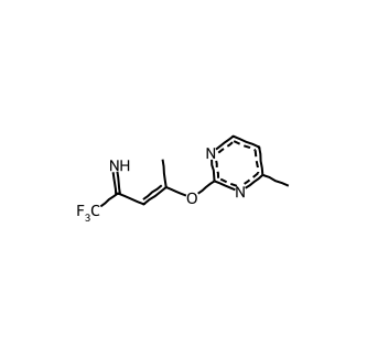 C/C(=C\C(=N)C(F)(F)F)Oc1nccc(C)n1